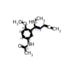 C=C=C/C=C(\NC)c1cc(NC(C)=O)ccc1OC